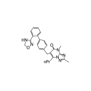 CCCc1c(Cc2ccc(-c3ccccc3C3=NOCN3)cc2)c(=O)n(C)c2nc(C)nn12